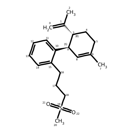 C=C(C)[C@@H]1CCC(C)=C[C@H]1c1ccccc1CCCS(C)(=O)=O